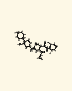 Cc1cccc(C)c1NC(=O)c1cnc(Nc2ccc(N3CCN(C)CC3)c(F)c2)nc1NC1CC1